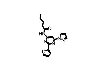 CCCCC(=O)Nc1cc(-n2cccn2)nc(-c2ccco2)n1